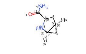 NC(=O)[C@H]1C[C@H]2C[C@H]2N1